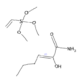 C=C[Si](OC)(OC)OC.CCC/C=C(\O)C(N)=O